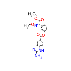 CCOC(=O)C(=NOC)c1cccc(OC(=O)c2ccc(NC(=N)N)cc2)c1